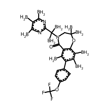 Bc1nc(C(B)(B)N2CC(B)(B)Oc3c(B)c(B)c(-c4ccc(OC(F)(F)F)cc4)c(B)c3C2=O)nc(B)c1B